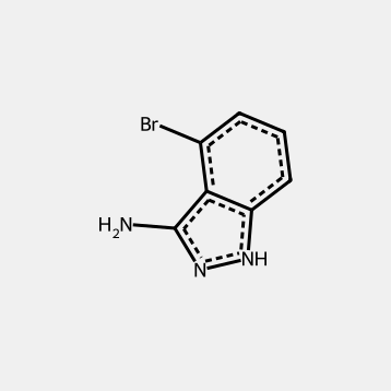 Nc1n[nH]c2cccc(Br)c12